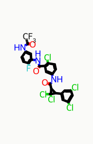 O=C(Nc1cc(NC(=O)C(F)(F)F)ccc1F)c1cc(NC(=O)C2C(c3cc(Cl)cc(Cl)c3)C2(Cl)Cl)ccc1Cl